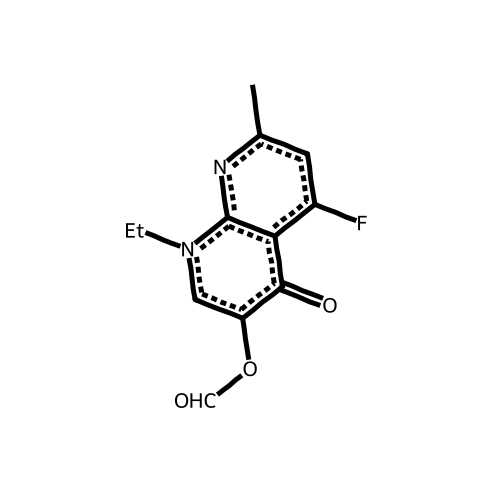 CCn1cc(OC=O)c(=O)c2c(F)cc(C)nc21